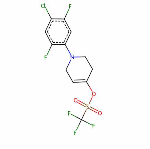 O=S(=O)(OC1=CCN(c2cc(F)c(Cl)cc2F)CC1)C(F)(F)F